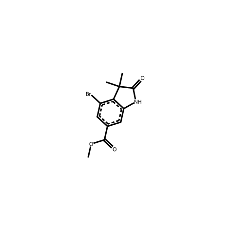 COC(=O)c1cc(Br)c2c(c1)NC(=O)C2(C)C